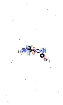 C=NN(/C=C\N)c1ncc(F)c2c(C(=O)C(=O)N3CCN(c4nnnn4-c4cccc(OC)c4)CC3)c[nH]c12